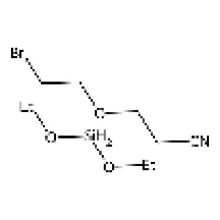 CCO[SiH2]OCC.N#CCCOCCBr